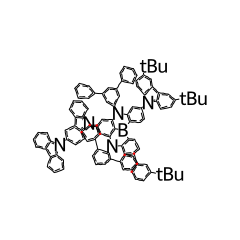 CC(C)(C)c1cccc(-c2ccc3c(c2)N(c2c(-c4ccccc4)cccc2-c2ccccc2)c2cc(-n4c5ccccc5c5cc(-n6c7ccccc7c7ccccc76)ccc54)cc4c2B3c2ccc(-n3c5ccc(C(C)(C)C)cc5c5cc(C(C)(C)C)ccc53)cc2N4c2cc(-c3ccccc3)cc(-c3ccccc3)c2)c1